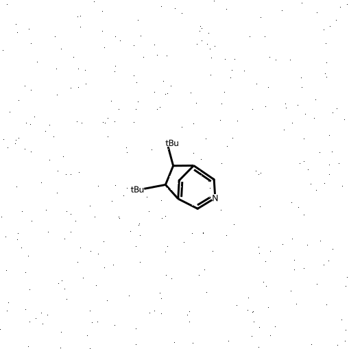 CC(C)(C)C1c2cncc(c2)C1C(C)(C)C